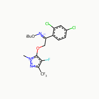 CC(C)CO/N=C(\COc1c(F)c(C(F)(F)F)nn1C)c1ccc(Cl)cc1Cl